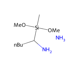 CCCCC(N)[Si](C)(OC)OC.N